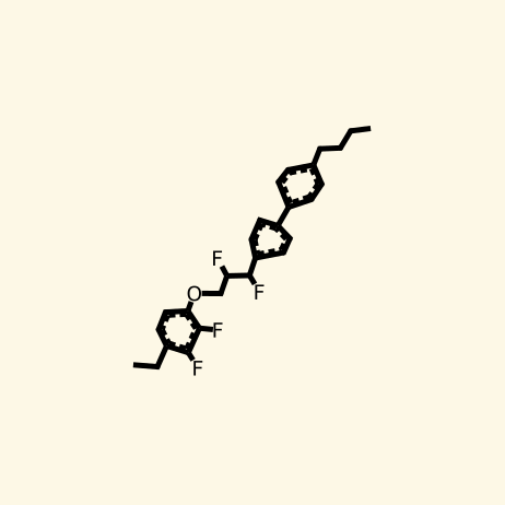 CCCCc1ccc(-c2ccc(C(F)C(F)COc3ccc(CC)c(F)c3F)cc2)cc1